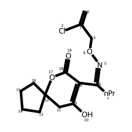 C=C(Cl)CO/N=C(/CCC)C1=C(O)CC2(CCCC2)OC1=O